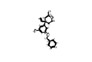 C=CC1(c2cc(F)cc(OCc3ccccc3)c2)CCOC(C)C1